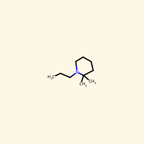 CCCN1CCCCC1(C)C